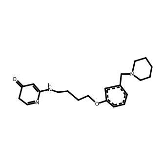 O=C1C=C(NCCCCOc2cccc(CN3CCCCC3)c2)N=CC1